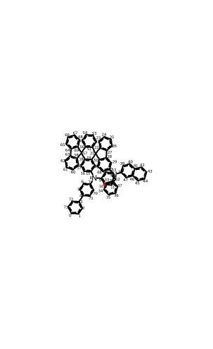 c1ccc(-c2ccc(N(c3ccccc3)c3ccc4c(c3)C3(c5ccccc5-c5cc(N(c6ccccc6)c6ccc7ccccc7c6)ccc53)c3ccccc3C43c4ccccc4-c4ccccc43)cc2)cc1